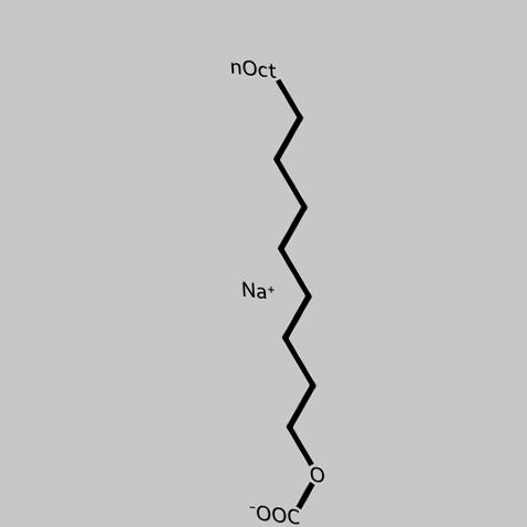 CCCCCCCCCCCCCCCCOC(=O)[O-].[Na+]